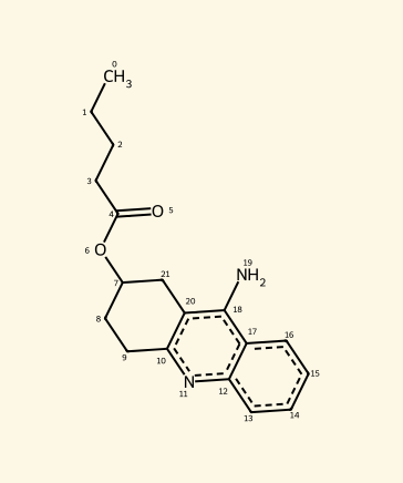 CCCCC(=O)OC1CCc2nc3ccccc3c(N)c2C1